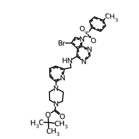 Cc1ccc(S(=O)(=O)n2cc(Br)c3c(NCc4cccc(N5CCN(C(=O)OC(C)(C)C)CC5)n4)ncnc32)cc1